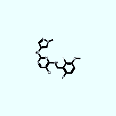 COc1ccc(F)c(CNc2nc(Nc3cnn(C)c3)ncc2Cl)c1F